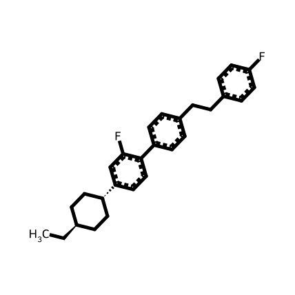 CC[C@H]1CC[C@H](c2ccc(-c3ccc(CCc4ccc(F)cc4)cc3)c(F)c2)CC1